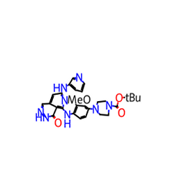 COc1cc(N2CCN(C(=O)OC(C)(C)C)CC2)ccc1Nc1nc(Nc2cccnc2)cc2cn[nH]c(=O)c12